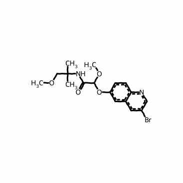 COCC(C)(C)NC(=O)C(OC)Oc1ccc2ncc(Br)cc2c1